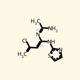 C=C(Cl)/C=C(\N=C(\C)N)Nc1nccs1